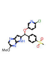 COc1cnc2cc(C(Oc3ccc(Cl)nc3)c3ccc(S(C)(=O)=O)cc3)[nH]c2n1